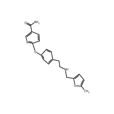 Cc1ccc(CNCCc2ccc(Oc3ccc(C(N)=O)cn3)cc2)o1